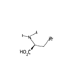 CC(C)C[C@@H](C(=O)O)N(I)I